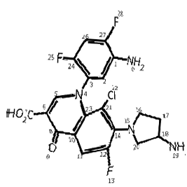 Nc1cc(-n2cc(C(=O)O)c(=O)c3cc(F)c(N4CCC(N)C4)c(Cl)c32)c(F)cc1F